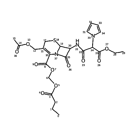 CCCC(=O)OCOC(=O)C1=C(COC(C)=O)CSC2C(NC(=O)C(C(=O)OCC)n3cccc3)C(=O)N12